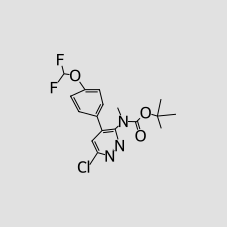 CN(C(=O)OC(C)(C)C)c1nnc(Cl)cc1-c1ccc(OC(F)F)cc1